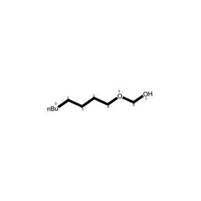 CCCCCCCCOCO